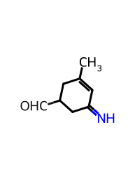 CC1=CC(=N)CC(C=O)C1